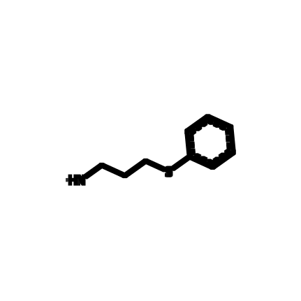 [NH]CCCSc1ccccc1